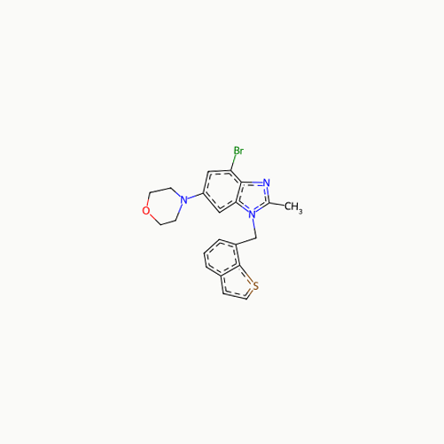 Cc1nc2c(Br)cc(N3CCOCC3)cc2n1Cc1cccc2ccsc12